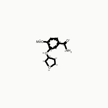 COc1ccc(C(N)=O)cc1OC1CCOC1